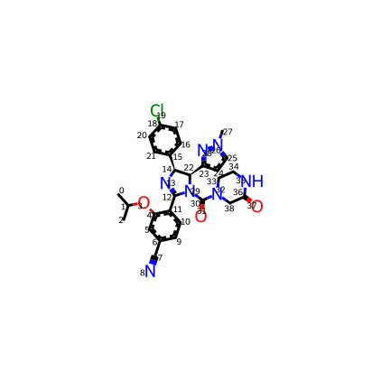 CC(C)Oc1cc(C#N)ccc1C1=N[C@@H](c2ccc(Cl)cc2)[C@@H](c2ccn(C)n2)N1C(=O)N1CCNC(=O)C1